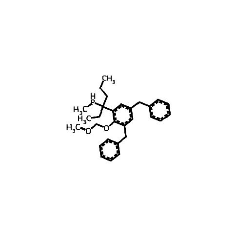 CCCC(CC)(PC)c1cc(Cc2ccccc2)cc(Cc2ccccc2)c1OCOC